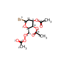 CC(=O)OOC[C@H]1OC(Br)C[C@@H](OC(C)=O)[C@H]1OC(C)=O